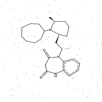 C[C@@H](C[C@@H]1CCC[C@H](C)N1C1CCCCCCC1)N1C(=O)CC(=O)Nc2ccccc21